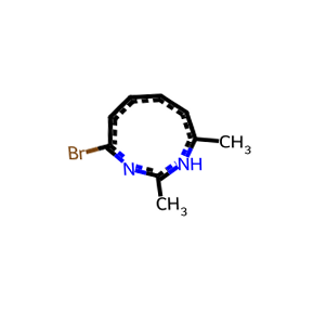 Cc1ccccc(Br)nc(C)[nH]1